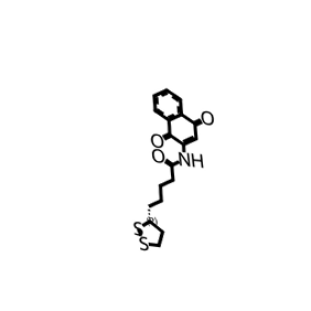 O=C(CCCC[C@@H]1CCSS1)NC1=CC(=O)c2ccccc2C1=O